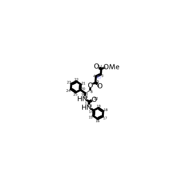 COC(=O)/C=C/C(=O)OC[C@H](NC(=O)Nc1ccccc1)c1ccccc1